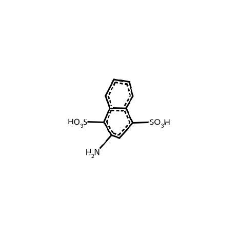 Nc1cc(S(=O)(=O)O)c2ccccc2c1S(=O)(=O)O